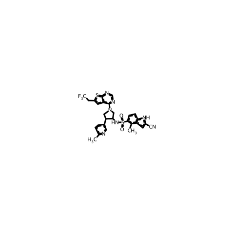 Cc1ccc(C2CN(c3ncnc4sc(CC(F)(F)F)cc34)CC2NS(=O)(=O)c2ccc3[nH]c(C#N)cc3c2C)cn1